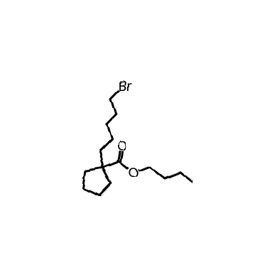 CCCCOC(=O)C1(CCCCCBr)CCCC1